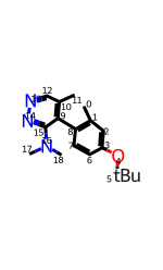 Cc1cc(OC(C)(C)C)ccc1-c1c(C)cnnc1N(C)C